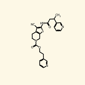 CC(CC(=O)Nc1sc2c(c1C#N)CCN(C(=O)OCCc1cccnc1)C2)c1cccnc1